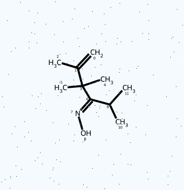 C=C(C)C(C)(C)C(=NO)C(C)C